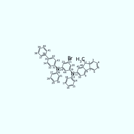 CC1c2ccccc2-c2ccc(N(c3ccccc3)c3cc(Br)cc(N(c4ccccc4)c4ccc(-c5ccccc5)cc4)c3)cc21